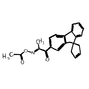 CC(=O)O/N=C(\C)C(=O)c1ccc2c(c1)C1(CC=CC1)c1ccccc1-2